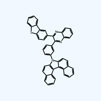 c1cc(-c2nc3ccccc3nc2-c2ccc3sc4ccccc4c3c2)cc(-n2c3ccc4ccccc4c3c3c4ccccc4ccc32)c1